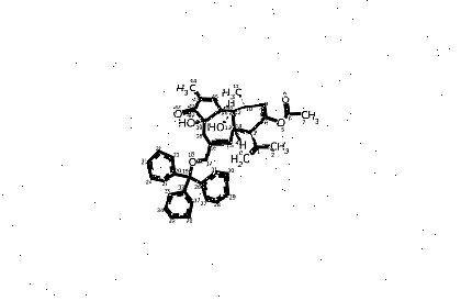 C=C(C)[C@@H]1C(OC(C)=O)=C[C@@H](C)[C@@]2(O)[C@H]1C=C(COC(c1ccccc1)(c1ccccc1)c1ccccc1)C[C@]1(O)C(=O)C(C)=C[C@@H]21